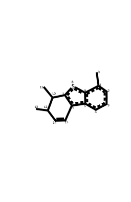 Cc1cccc2c3c(sc12)C(C)C(C)C=C3